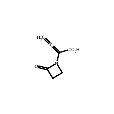 C=C=C(C(=O)O)N1CCC1=O